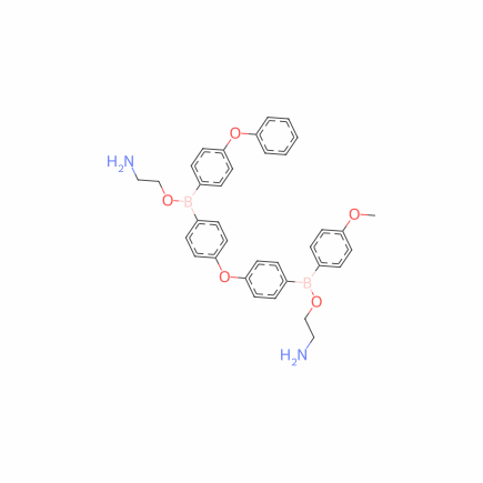 COc1ccc(B(OCCN)c2ccc(Oc3ccc(B(OCCN)c4ccc(Oc5ccccc5)cc4)cc3)cc2)cc1